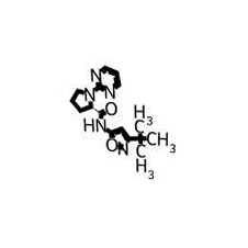 CC(C)(C)c1cc(NC(=O)[C@@H]2CCCN2c2ncccn2)on1